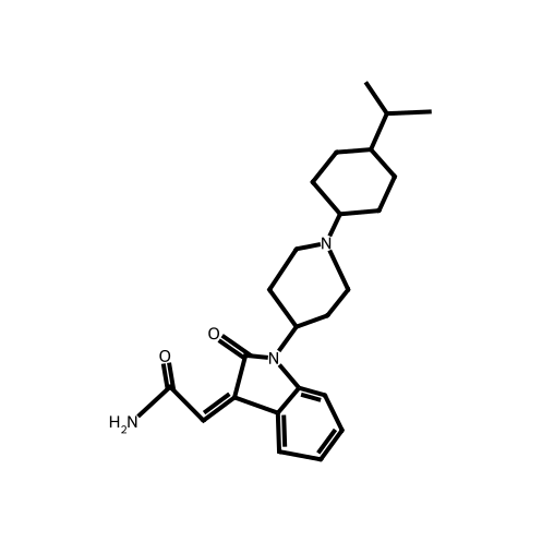 CC(C)C1CCC(N2CCC(N3C(=O)/C(=C\C(N)=O)c4ccccc43)CC2)CC1